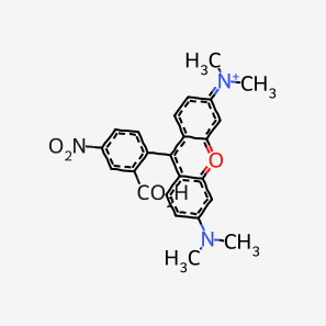 CN(C)c1ccc2c(-c3ccc([N+](=O)[O-])cc3C(=O)O)c3ccc(=[N+](C)C)cc-3oc2c1